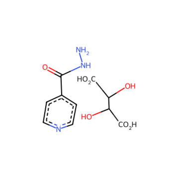 NNC(=O)c1ccncc1.O=C(O)C(O)C(O)C(=O)O